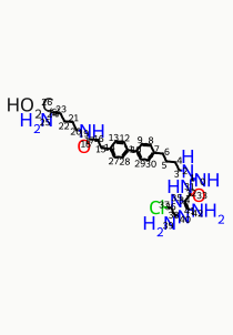 N=C(NCCCCc1ccc(-c2ccc(CCC(=O)NCCCC[C@H](N)C(=O)O)cc2)cc1)NC(=O)c1nc(Cl)c(N)nc1N